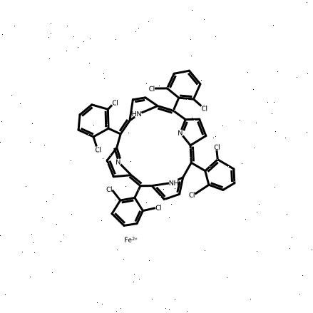 Clc1cccc(Cl)c1-c1c2nc(c(-c3c(Cl)cccc3Cl)c3ccc([nH]3)c(-c3c(Cl)cccc3Cl)c3nc(c(-c4c(Cl)cccc4Cl)c4ccc1[nH]4)C=C3)C=C2.[Fe+2]